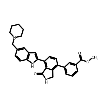 COC(=O)c1cccc(-c2ccc(-c3cc4cc(CN5CCCCC5)ccc4[nH]3)c3c2CNC3=O)c1